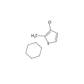 C1CCCCC1.Cc1sccc1Cl